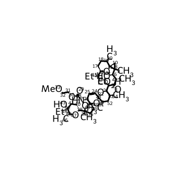 CC[C@@H](C(=O)[C@@H](C)[C@@H](O)C1(C)C[C@]12O[C@@H]([C@@H](CC)C(=O)O)CC[C@@H]2C)[C@H]1O[C@]2(C=C[C@@H](NC(=O)OCCOC)[C@]3(CC[C@@](C)([C@H]4CC[C@](O)(CC)[C@H](C)O4)O3)O2)[C@H](C)C[C@@H]1C